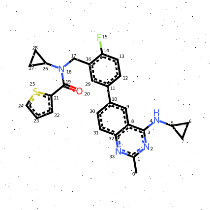 Cc1nc(NC2CC2)c2cc(-c3ccc(F)c(CN(C(=O)c4cccs4)C4CC4)c3)ccc2n1